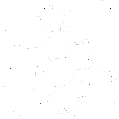 Cc1cccc(C)c1-c1ccnc2c1nc(C)c1nncn12